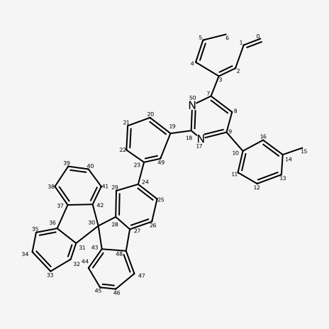 C=C/C=C(\C=C/C)c1cc(-c2cccc(C)c2)nc(-c2cccc(-c3ccc4c(c3)C3(c5ccccc5-c5ccccc53)c3ccccc3-4)c2)n1